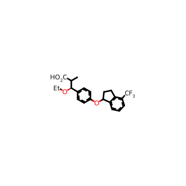 CCO[C@H](c1ccc(OC2CCc3c2cccc3C(F)(F)F)cc1)C(C)C(=O)O